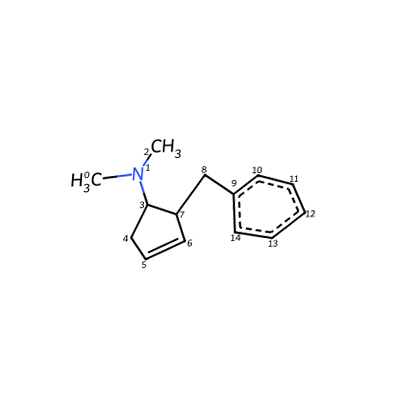 CN(C)C1CC=CC1Cc1ccccc1